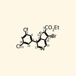 CCOC(=O)c1sc2c(-c3cc(Cl)cc(Cl)c3)cncc2c1Br